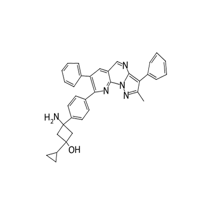 Cc1nn2c(ncc3cc(-c4ccccc4)c(-c4ccc(C5(N)CC(O)(C6CC6)C5)cc4)nc32)c1-c1ccccc1